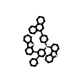 c1ccc(-c2ccc(N(c3ccc(-c4cc5ccccc5c5ccccc45)cc3)c3cccc4oc5ccccc5c34)cc2-c2cccc3c2sc2ccccc23)cc1